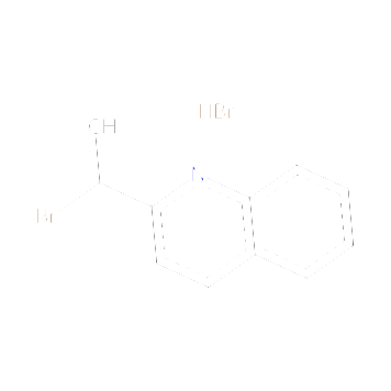 Br.CC(Br)c1ccc2ccccc2n1